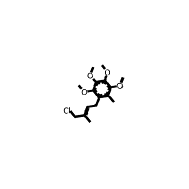 COc1c(C)c(C/C=C(\C)CCl)c(OC)c(OC)c1OC